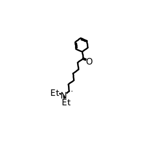 CCN([CH]CCCCCC(=O)C1C=CC=CC1)CC